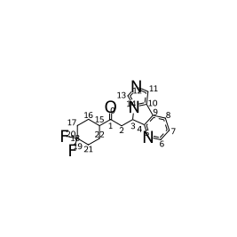 O=C(CC1c2ncccc2-c2cncn21)C1CCC(F)(F)CC1